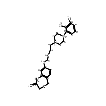 O=C1CCCc2ccc(OCCCCN3CCN(c4cccc(Cl)c4Cl)CC3)cc2N1